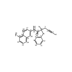 CC#CCC(C)(Cc1ccccc1)C(=O)Nc1cnc2c(F)cccc2c1